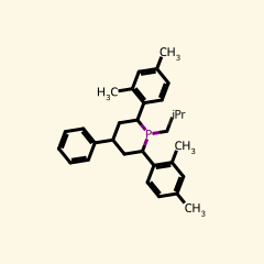 Cc1ccc(C2CC(c3ccccc3)CC(c3ccc(C)cc3C)P2CC(C)C)c(C)c1